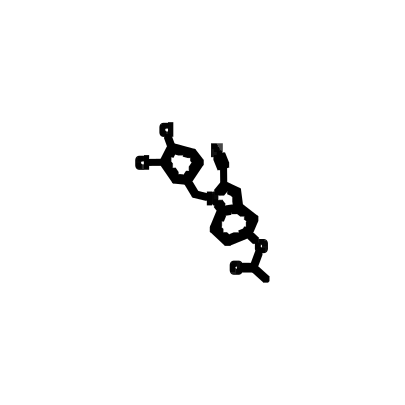 CC(=O)Oc1ccc2c(c1)cc(C#N)n2Cc1ccc(Cl)c(Cl)c1